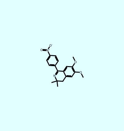 COc1cc2c(cc1OC)C(c1ccc([N+](=O)[O-])cc1)=NC(C)(C)C2